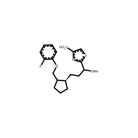 COC(CC[C@H]1CCCC1COc1ccccc1F)c1nc(C(=O)O)cs1